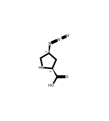 [N-]=[N+]=N[C@@H]1CN[C@H](C(=O)O)C1